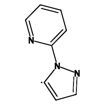 [c]1ccnn1-c1ccccn1